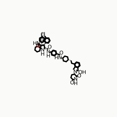 O=C1CCC(N2Cc3c(CC[C@H]4CC[C@H](NC(=O)c5ccc(NC(=O)[C@@H]6NC7(CCCCC7)[C@@]7(C(=O)Nc8cc(Cl)ccc87)[C@H]6c6cccc(Cl)c6F)cc5)CC4)cccc3C2O)C(=O)N1